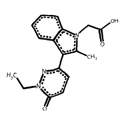 CCn1nc(-c2c(C)n(CC(=O)O)c3ccccc23)ccc1=O